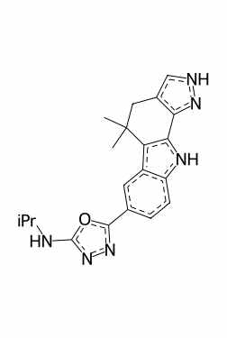 CC(C)Nc1nnc(-c2ccc3[nH]c4c(c3c2)C(C)(C)Cc2c[nH]nc2-4)o1